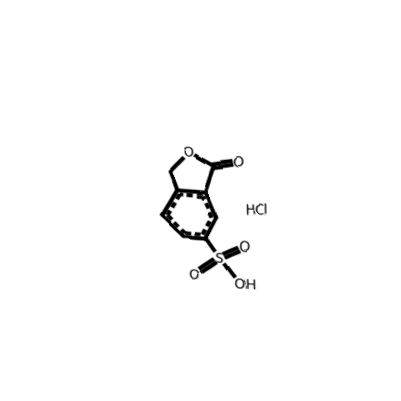 Cl.O=C1OCc2ccc(S(=O)(=O)O)cc21